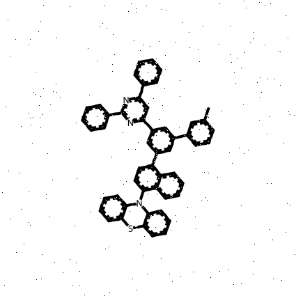 Cc1cccc(-c2cc(-c3cc(-c4ccccc4)nc(-c4ccccc4)n3)cc(-c3ccc(N4c5ccccc5Sc5ccccc54)c4ccccc34)c2)c1